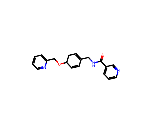 O=C(NCC1=CCC(OCc2ccccn2)C=C1)c1cccnc1